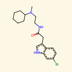 CN(CCNC(=O)Cc1c[nH]c2cc(Br)ccc12)C1CCCCC1